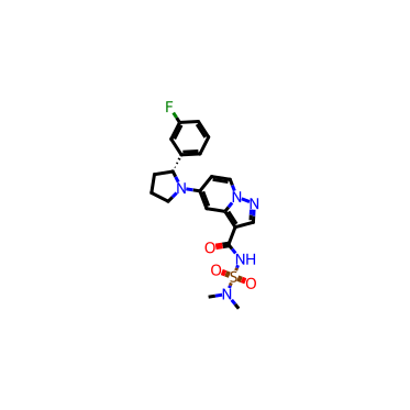 CN(C)S(=O)(=O)NC(=O)c1cnn2ccc(N3CCC[C@@H]3c3cccc(F)c3)cc12